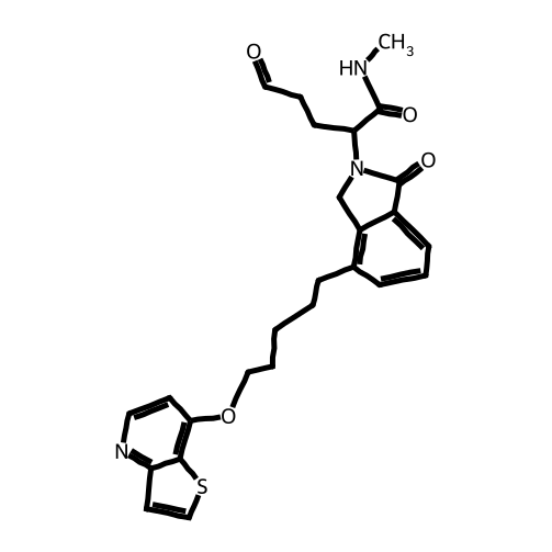 CNC(=O)C(CCC=O)N1Cc2c(CCCCCOc3ccnc4ccsc34)cccc2C1=O